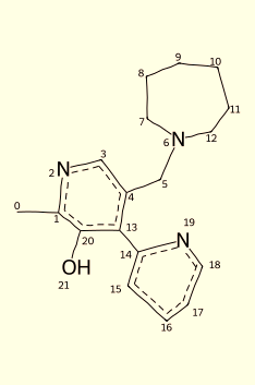 Cc1ncc(CN2CCCCCC2)c(-c2ccccn2)c1O